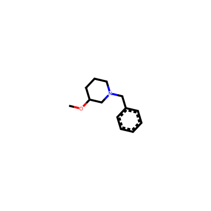 COC1[CH]CCN(Cc2ccccc2)C1